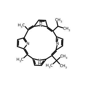 Cc1c2nc(c(C)c3ccc([nH]3)c(C(C)(C)C)c3nc(c(C(C)C)c4ccc1[nH]4)C=C3)C=C2